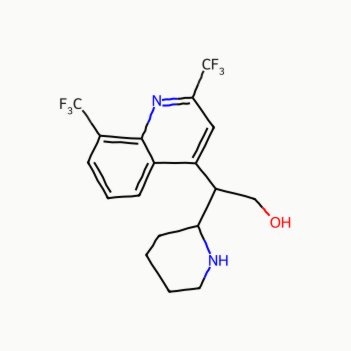 OCC(c1cc(C(F)(F)F)nc2c(C(F)(F)F)cccc12)C1CCCCN1